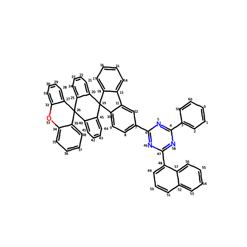 c1ccc(-c2nc(-c3ccc4c(c3)-c3ccccc3C43c4ccccc4C4(c5ccccc5Oc5ccccc54)c4ccccc43)nc(-c3cccc4ccccc34)n2)cc1